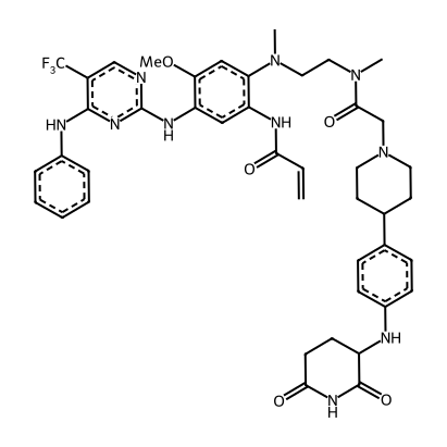 C=CC(=O)Nc1cc(Nc2ncc(C(F)(F)F)c(Nc3ccccc3)n2)c(OC)cc1N(C)CCN(C)C(=O)CN1CCC(c2ccc(NC3CCC(=O)NC3=O)cc2)CC1